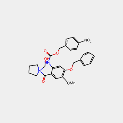 COc1cc(C(=O)[N+]2(CO)CCCC2)c(NC(=O)OCc2ccc([N+](=O)[O-])cc2)cc1OCc1ccccc1